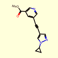 COC(=O)c1cncc(C#Cc2cnn(C3CC3)c2)c1